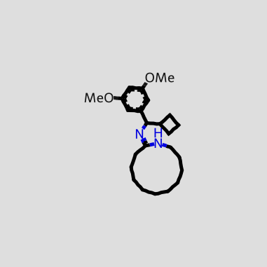 COc1cc(OC)cc(C(/N=C2/CCCCCCCCCCN2)C2CCC2)c1